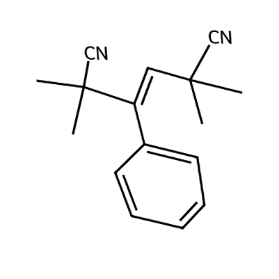 CC(C)(C#N)C=C(c1ccccc1)C(C)(C)C#N